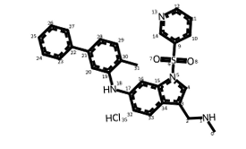 CNCc1cn(S(=O)(=O)c2cccnc2)c2cc(Nc3cc(-c4ccccc4)ccc3C)ccc12.Cl